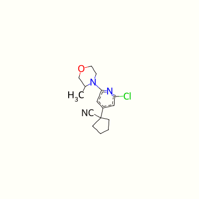 CC1COCCN1c1cc(C2(C#N)CCCC2)cc(Cl)n1